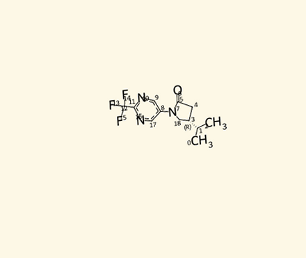 CC(C)[C@H]1CC(=O)N(c2cnc(C(F)(F)F)nc2)C1